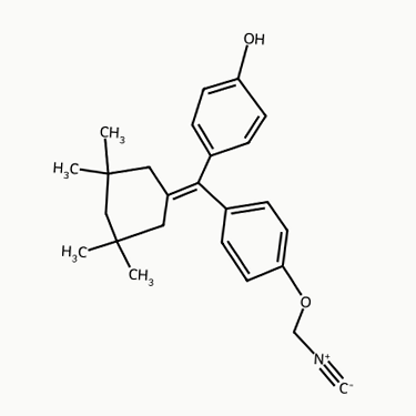 [C-]#[N+]COc1ccc(C(=C2CC(C)(C)CC(C)(C)C2)c2ccc(O)cc2)cc1